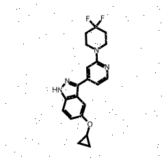 FC1(F)CCN(c2cc(-c3n[nH]c4ccc(OC5CC5)cc34)ccn2)CC1